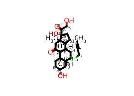 CC#CCBr.C[C@]12CC[C@@H](O)C[C@H]1CC[C@@H]1[C@@H]2C(=O)C[C@@]2(C)[C@H]1CC[C@]2(O)C(=O)CO